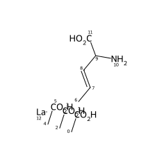 CC(=O)O.CC(=O)O.CC(=O)O.CC=CC(N)C(=O)O.[La]